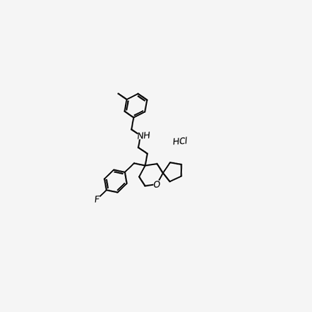 Cc1cccc(CNCCC2(Cc3ccc(F)cc3)CCOC3(CCCC3)C2)c1.Cl